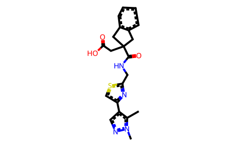 Cc1c(-c2csc(CNC(=O)C3(CC(=O)O)Cc4ccccc4C3)n2)cnn1C